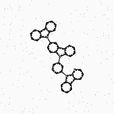 c1cc(-n2c3ccccc3c3cc(-n4c5ccccc5c5ccccc54)ccc32)cc(-n2c3ccccc3c3cccnc32)c1